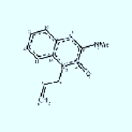 C=CCn1c(=O)c(NC)nc2ccccc21